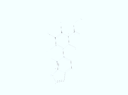 CN1C(c2ccc3cc[nH]c3c2F)=C(F)C(N)=C(Cl)C1C(=O)OC#N